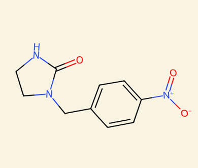 O=C1NCCN1Cc1ccc([N+](=O)[O-])cc1